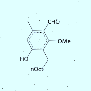 CCCCCCCCCc1c(O)cc(C)c(C=O)c1OC